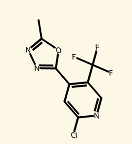 Cc1nnc(-c2cc(Cl)ncc2C(F)(F)F)o1